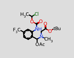 CC(=O)OC(c1ccc(C(F)(F)F)cc1NC(=O)OC(C)Cl)N(C)CC(=O)OC(C)(C)C